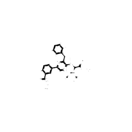 CCOP(OCC)C(Nc1ncc(-c2cccc(C(=O)OC(C)(C)C)c2)nc1Cc1ccccc1)C(=O)OC